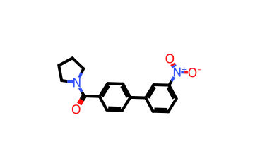 O=C(c1ccc(-c2cccc([N+](=O)[O-])c2)cc1)N1CCCC1